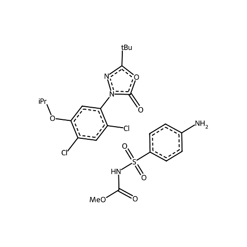 CC(C)Oc1cc(-n2nc(C(C)(C)C)oc2=O)c(Cl)cc1Cl.COC(=O)NS(=O)(=O)c1ccc(N)cc1